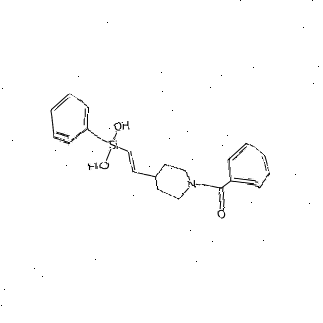 O=C(c1ccccc1)N1CCC(C=C[Si](O)(O)c2ccccc2)CC1